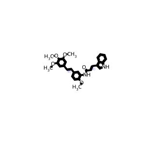 COc1ccc(/C=C/c2cc(OC)c(OC)c(OC)c2)cc1NC(=O)/C=C/c1c[nH]c2ccccc12